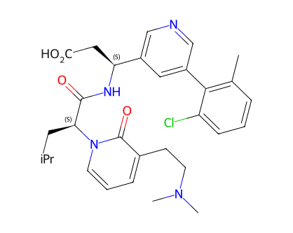 Cc1cccc(Cl)c1-c1cncc([C@H](CC(=O)O)NC(=O)[C@H](CC(C)C)n2cccc(CCN(C)C)c2=O)c1